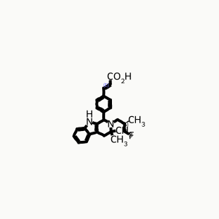 C[C@H](CF)CN1C(c2ccc(/C=C/C(=O)O)cc2)c2[nH]c3ccccc3c2CC1(C)C